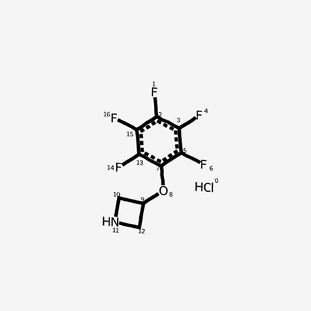 Cl.Fc1c(F)c(F)c(OC2CNC2)c(F)c1F